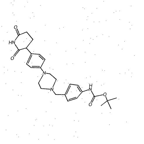 CC(C)(C)OC(=O)Nc1ccc(CN2CCN(c3ccc(C4CCC(=O)NC4=O)cc3)CC2)cc1